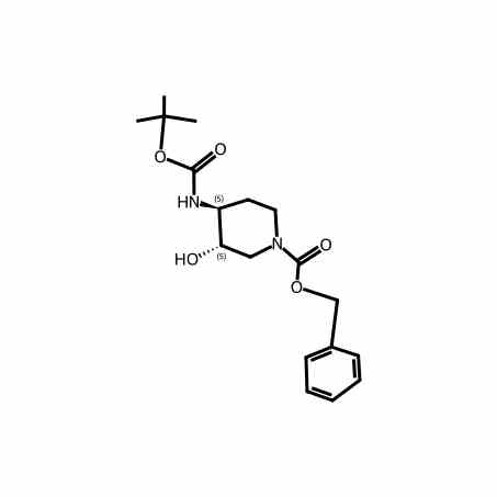 CC(C)(C)OC(=O)N[C@H]1CCN(C(=O)OCc2ccccc2)C[C@@H]1O